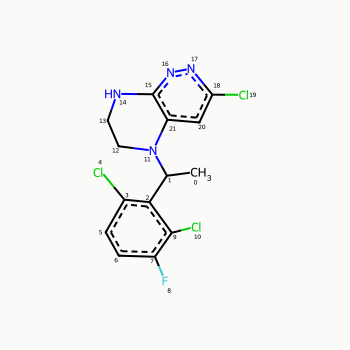 CC(c1c(Cl)ccc(F)c1Cl)N1CCNc2nnc(Cl)cc21